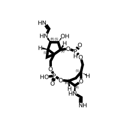 N=CN[C@H]1[C@H](O)[C@@H]2O[PH](=O)OC[C@@H]3C[C@@H](OP(=O)(O)OCC24C[C@H]14)[C@H](NC=N)O3